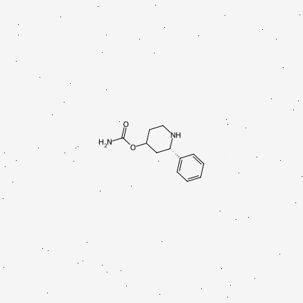 NC(=O)OC1CCN[C@H](c2ccccc2)C1